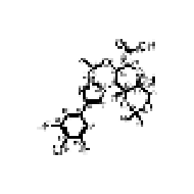 CC(=O)O[C@@H]1[C@@H](n2cc(-c3cc(F)c(Cl)c(F)c3)nn2)[C@H]2OC(C)(C)OC[C@H]2O[C@H]1C(=O)O